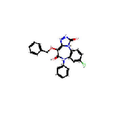 O=c1nnc2c(OCc3ccccc3)c(=O)n(-c3ccccc3)c3cc(Cl)ccc3n1-2